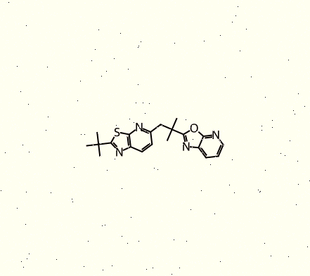 CC(C)(C)c1nc2ccc(CC(C)(C)c3nc4cccnc4o3)nc2s1